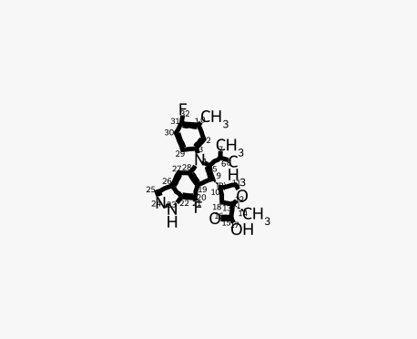 Cc1cc(-n2c(C(C)C)c([C@@H]3CO[C@@](C)(C(=O)O)C3)c3c(F)c4[nH]ncc4cc32)ccc1F